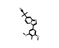 COc1cc(-c2cnc3cc(C(C)(C)C#N)ccn23)cc(OC)c1C